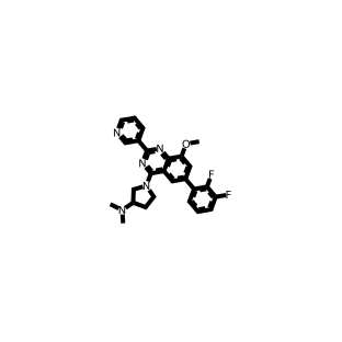 COc1cc(-c2cccc(F)c2F)cc2c(N3CCC(N(C)C)C3)nc(-c3cccnc3)nc12